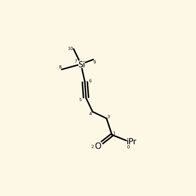 CC(C)C(=O)CCC#C[Si](C)(C)C